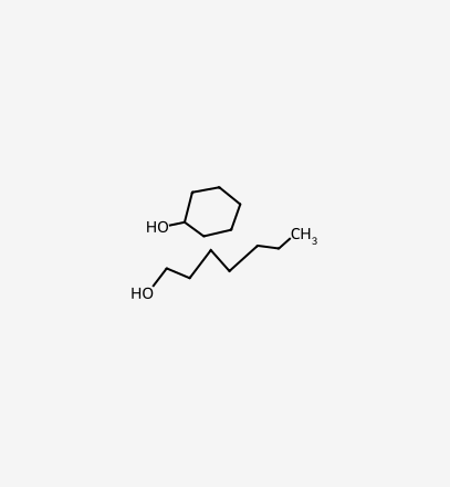 CCCCCCCO.OC1CCCCC1